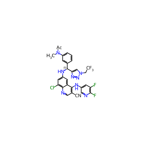 CC(=O)N(C)c1cccc([C@H](Nc2cc(Cl)c3ncc(C#N)c(Nc4cnc(F)c(F)c4)c3c2)c2cn(CC(F)(F)F)nn2)c1